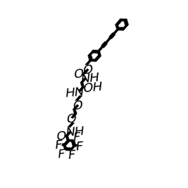 O=C(NCC(O)NCCOCCOCCNC(=O)c1c(F)c(F)c(F)c(F)c1F)OCc1ccc(C#CC#Cc2ccccc2)cc1